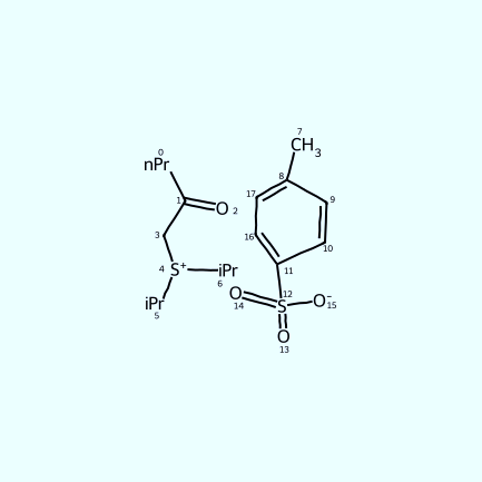 CCCC(=O)C[S+](C(C)C)C(C)C.Cc1ccc(S(=O)(=O)[O-])cc1